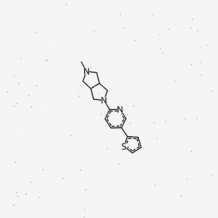 CN1CC2CN(c3ccc(-c4cccs4)cn3)CC2C1